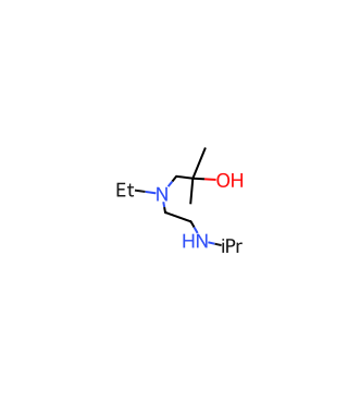 CCN(CCNC(C)C)CC(C)(C)O